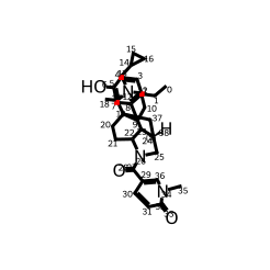 CCc1ccc(O)cc1C12CCN(CC3CC3)C(C)C13CCC1C2[C@@H](CN1C(=O)c1ccc(=O)n(C)c1)C3